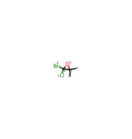 CC1(C)OC1(Cl)Br